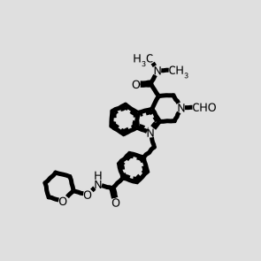 CN(C)C(=O)C1CN(C=O)Cc2c1c1ccccc1n2Cc1ccc(C(=O)NOC2CCCCO2)cc1